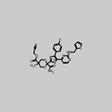 CC1(C(=O)OCC#N)COC(C(N)=O)(c2nc(-c3ccc(F)cc3)c(-c3ccnc(NCc4cccs4)n3)[nH]2)OC1